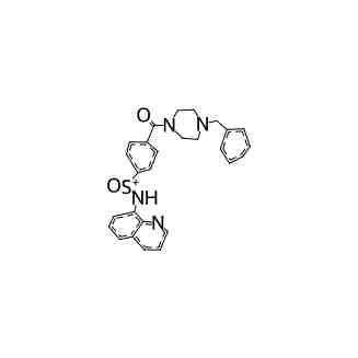 O=C(c1ccc([S+]([O-])Nc2cccc3cccnc23)cc1)N1CCN(Cc2ccccc2)CC1